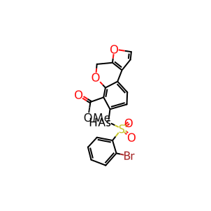 COC(=O)c1c([AsH]S(=O)(=O)c2ccccc2Br)ccc2c1OCc1occc1-2